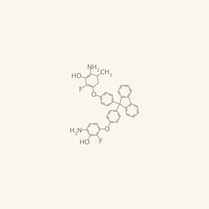 CC1CC(Oc2ccc(C3(c4ccc(Oc5ccc(N)c(O)c5F)cc4)c4ccccc4-c4ccccc43)cc2)=C(F)C(O)=C1N